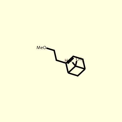 COCCC1=CCC2CC1C2(C)C